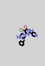 O=c1[nH]c(-c2ccncc2)nc(N2CCN[C@H](Cc3ccccc3)C2)c1Cl